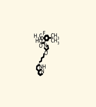 COc1c(F)cc(C(C)C)cc1[C@H](C(=O)O)N1CC[C@@H](OCCCCC[C@H]2CCc3cccnc3N2)C1